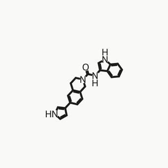 O=C(Nc1c[nH]c2ccccc12)N1CCc2cc(-c3cc[nH]c3)ccc2C1